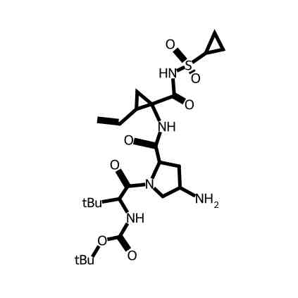 C=CC1CC1(NC(=O)C1CC(N)CN1C(=O)C(NC(=O)OC(C)(C)C)C(C)(C)C)C(=O)NS(=O)(=O)C1CC1